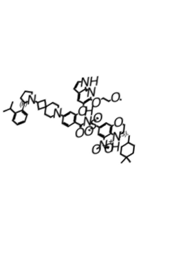 COCCOc1nc2[nH]ccc2cc1Oc1cc(N2CCC3(CC2)CC(N2CCC[C@@H]2c2ccccc2C(C)C)C3)ccc1C(=O)NS(=O)(=O)c1cc2c(c([N+](=O)[O-])c1)N[C@@H](CC1CCC(C)(C)CC1)CO2